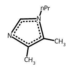 CCCn1cnc(C)c1C